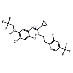 [O-][S+](CC(F)(F)F)c1cc(/N=C(\NCCc2ncc(C(F)(F)F)cc2Cl)C2CC2)c(Cl)cc1Cl